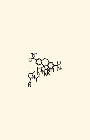 C=C(CNCCC1(c2nnn[nH]2)c2ccc(C(=O)N(C)C)cc2CCc2cc(C(=O)N(C)C)ccc21)N1C(C#N)C[C@H](C)C1C